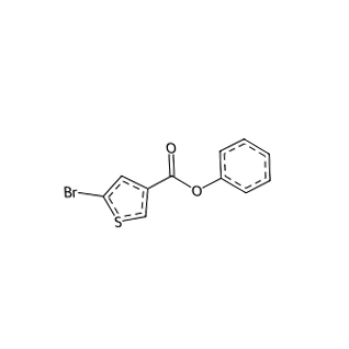 O=C(Oc1ccccc1)c1csc(Br)c1